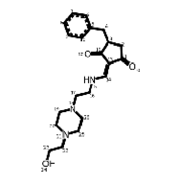 O=C1CC(Cc2ccccc2)C(=O)C1=CNCCN1CCN(CCO)CC1